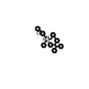 c1ccc(C(=C(c2ccccc2)c2cccc(-c3ccccc3Cc3nc(-c4ccccc4)nc(-c4ccc5c(c4)oc4ccccc45)n3)c2)c2ccccc2)cc1